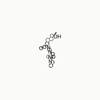 C#C[C@]1(O)CCC2C3CCc4cc(OCOC)c(N5CCN(C(=O)[C@@H]6CCCN6C(=O)c6ccc7ccccc7n6)CC5)cc4C3CC[C@@]21C